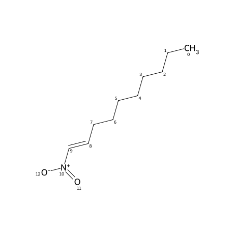 CCCCCCCC/C=C/[N+](=O)[O-]